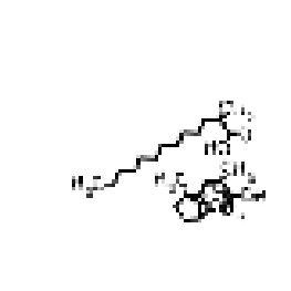 C=C(CCCCCCCCCCC)C(=O)O.CC(=CC1CC2CCC1(C)C2(C)C)C(=O)O